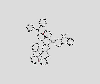 CC1(C)c2ccccc2-c2ccc(N(c3ccccc3)c3cc4c(cc3-c3ccc(N(c5ccccc5)c5ccccc5)cc3)C3(c5ccccc5O4)c4ccccc4-c4ccccc43)cc21